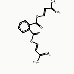 C=C(C)C=COC(=O)c1ccccc1C(=O)OC=CC(=C)C